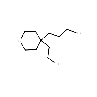 CC(C)CCCC1(CCN)CCNCC1